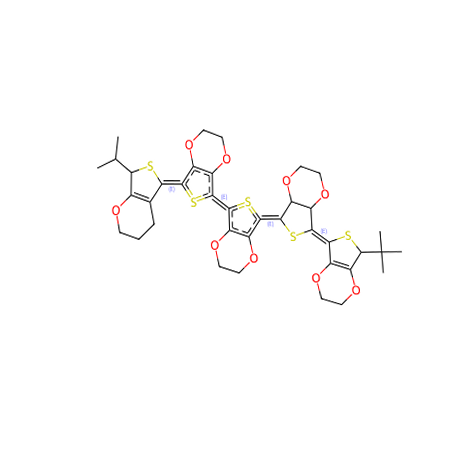 CC(C)C1S/C(=c2/s/c(=c3/s/c(=C4/S/C(=C5/SC(C(C)(C)C)C6=C5OCCO6)C5OCCOC45)c4c3OCCO4)c3c2OCCO3)C2=C1OCCC2